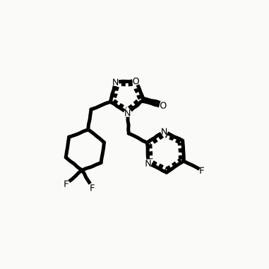 O=c1onc(CC2CCC(F)(F)CC2)n1Cc1ncc(F)cn1